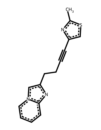 Cc1nc(C#CCCc2cn3ccccc3n2)cs1